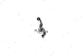 CC(=O)N1CC[C@H](Nc2nc(C)c(C(=O)N3CC4CN(CC[CH]c5ccccc5)CC4C3)c(C(N)=O)n2)C1